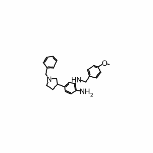 COc1ccc(CNc2cc(C3CCN(Cc4ccccc4)C3)ccc2N)cc1